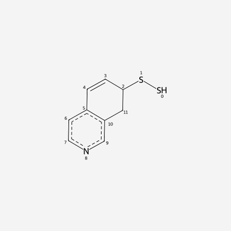 SSC1C=Cc2ccncc2C1